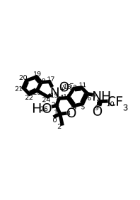 CC1(C)Oc2cc(NC(=O)C(F)(F)F)ccc2C([N+]2([O-])Cc3ccccc3C2)C1O